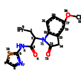 CC(C)CC(C(=O)Nc1nccs1)N1C(=O)Cc2cc(OC(F)(F)F)ccc21